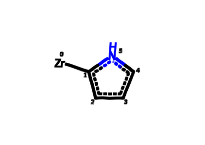 [Zr][c]1ccc[nH]1